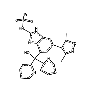 Cc1noc(C)c1-c1cc(C(O)(c2ccccn2)c2ccccn2)c2nc(NS(=O)(=O)C(C)C)[nH]c2c1